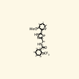 COc1cccnc1-c1nc(CNC(=O)c2ccccc2C(F)(F)F)n[nH]1